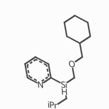 CC(C)C[SiH](COCC1CCCCC1)c1ccccn1